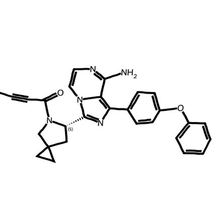 CC#CC(=O)N1CC2(CC2)C[C@H]1c1nc(-c2ccc(Oc3ccccc3)cc2)c2c(N)nccn12